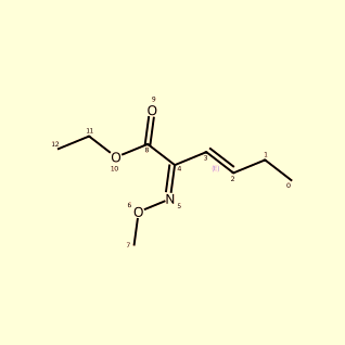 CC/C=C/C(=NOC)C(=O)OCC